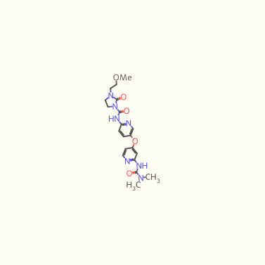 COCCN1CCN(C(=O)Nc2ccc(Oc3ccnc(NC(=O)N(C)C)c3)cn2)C1=O